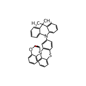 CC1(C)c2ccccc2N(c2ccc3c(c2)[Si]2(c4ccccc4Oc4ccccc42)c2ccccc2S3)c2ccccc21